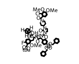 COc1ccc(C(=O)N2CCC(N3CCN(C(=O)NC(C(=O)NC(Cc4ccc(F)c(C(=O)OC(C)(C)C)c4OC)B4O[C@@H]5C[C@@H]6C[C@@H](C6(C)C)[C@]5(C)O4)c4ccc(P(=O)(OCc5ccccc5)OCc5ccccc5)cc4)C3=O)CC2)c(Cl)c1OC